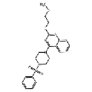 COCCOc1nc(N2CCN(S(=O)(=O)c3ccccc3)CC2)c2ccccc2n1